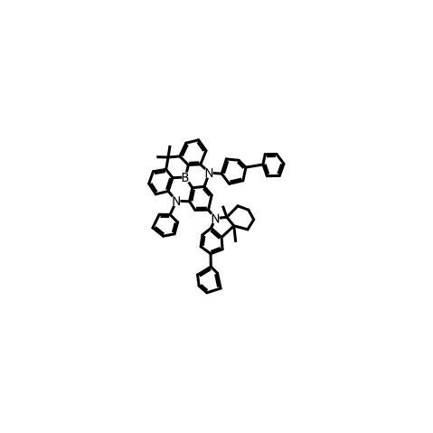 CC1(C)c2cccc3c2B2c4c(cc(N5c6ccc(-c7ccccc7)cc6C6(C)CCCCC56C)cc4N(c4ccc(-c5ccccc5)cc4)c4cccc1c42)N3c1ccccc1